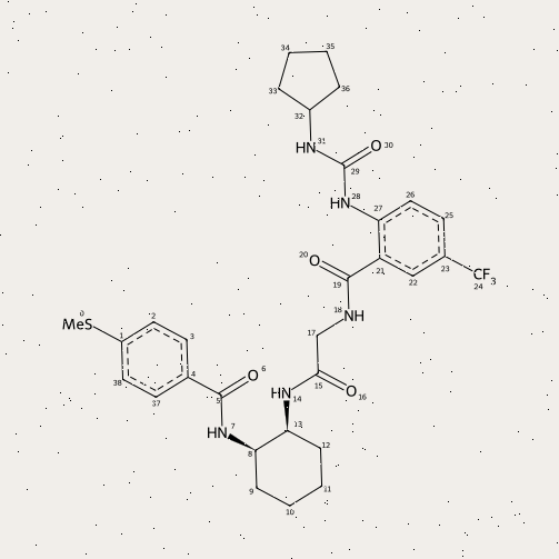 CSc1ccc(C(=O)N[C@@H]2CCCC[C@@H]2NC(=O)CNC(=O)c2cc(C(F)(F)F)ccc2NC(=O)NC2CCCC2)cc1